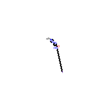 CCCN1CCN(c2ccc(C(=O)NCCCCCCCCCCCCCCCCCCI)cn2)CC1